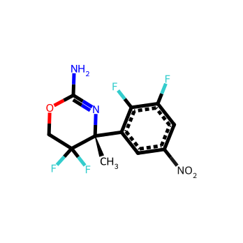 C[C@]1(c2cc([N+](=O)[O-])cc(F)c2F)N=C(N)OCC1(F)F